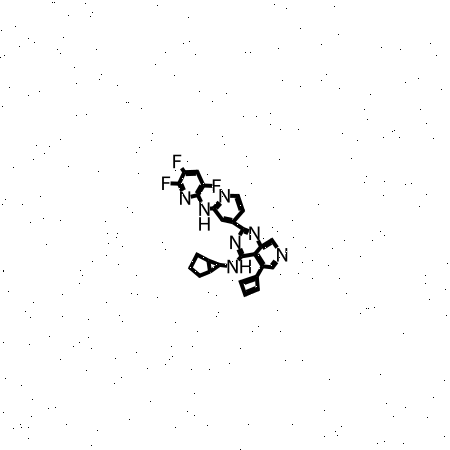 Fc1cc(F)c(Nc2cc(-c3nc(NC4C5CCCC54)c4c(C5=CC=C5)cncc4n3)ccn2)nc1F